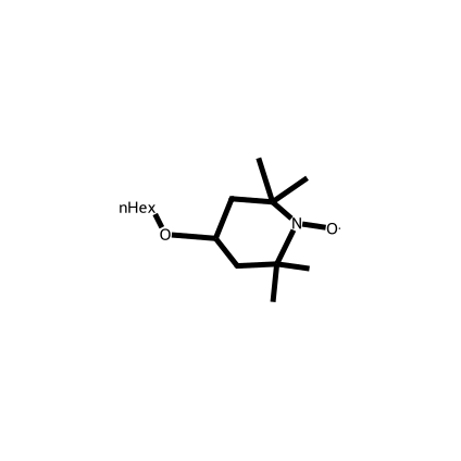 CCCCCCOC1CC(C)(C)N([O])C(C)(C)C1